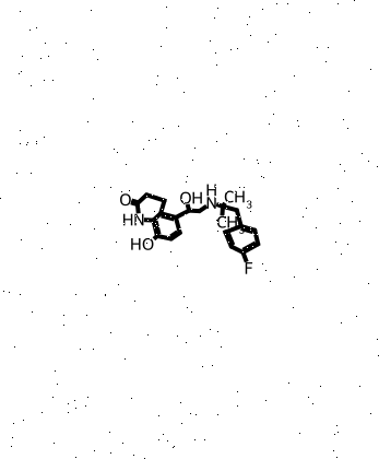 CC(C)(Cc1ccc(F)cc1)NCC(O)c1ccc(O)c2c1CCC(=O)N2